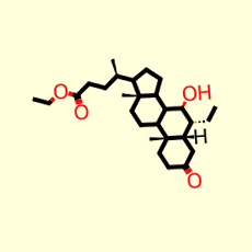 CCOC(=O)CC[C@@H](C)C1CCC2C3C(CC[C@@]21C)[C@@]1(C)CCC(=O)C[C@H]1[C@@H](CC)[C@@H]3O